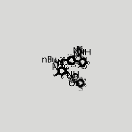 CCCCc1nc2c(C)cc(NCS(=O)(=O)c3ccccc3)cc2n1Cc1ccc(-c2ccccc2-c2nnn[nH]2)cc1